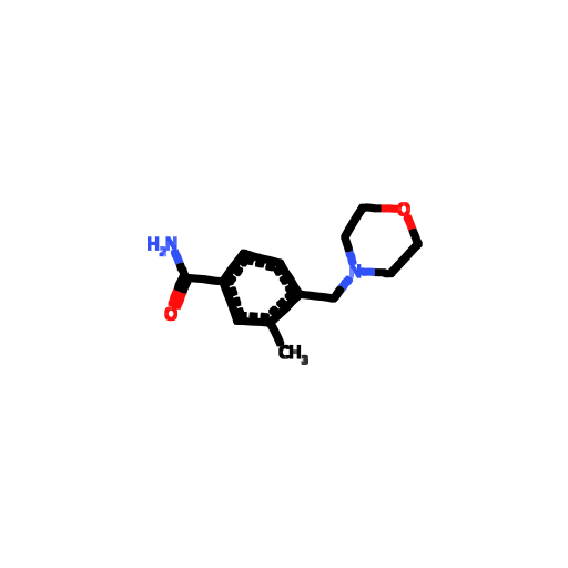 Cc1cc(C(N)=O)ccc1CN1CCOCC1